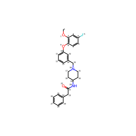 COc1cc(F)ccc1Oc1cccc(CN2CCC(NC(=O)Cc3ccccc3)CC2)c1